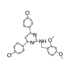 COc1ccc(CNc2nc(-c3ccc(Cl)cc3)cc(-c3ccc(Cl)cc3)n2)c(OC)c1